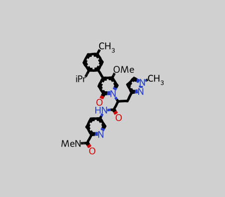 CNC(=O)c1ccc(NC(=O)C(Cc2ccn(C)n2)n2cc(OC)c(-c3cc(C)ccc3C(C)C)cc2=O)cn1